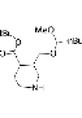 CCCCC(OC)OCC1CNCCC1C(=O)OC(C)(C)C